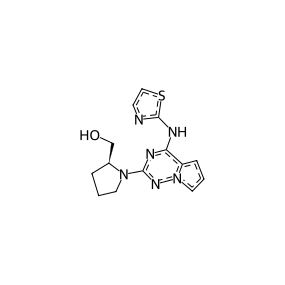 OC[C@@H]1CCCN1c1nc(Nc2nccs2)c2cccn2n1